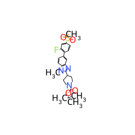 Cn1c(C2CCN(C(=O)OC(C)(C)C)CC2)nc2cc(-c3ccc(S(C)(=O)=O)cc3F)ccc21